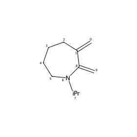 C=C1CCCCN(C(C)C)C1=C